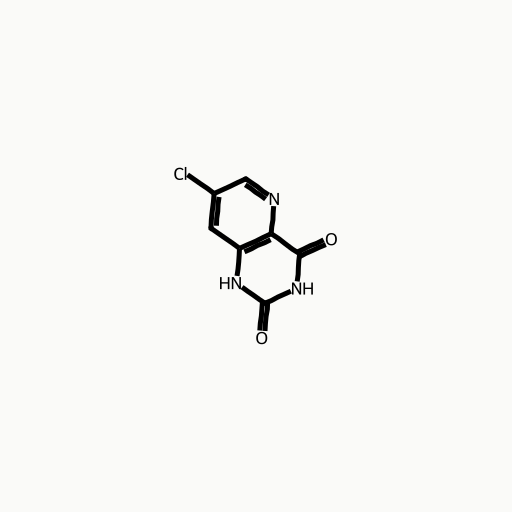 O=c1[nH]c(=O)c2ncc(Cl)cc2[nH]1